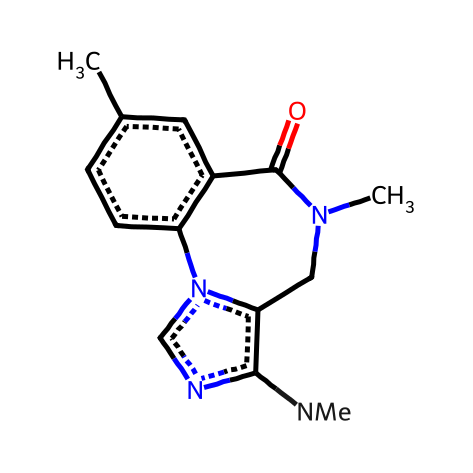 CNc1ncn2c1CN(C)C(=O)c1cc(C)ccc1-2